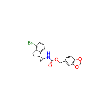 O=C(NC1CC12CCc1c(Br)cccc12)OCc1ccc2c(c1)OCO2